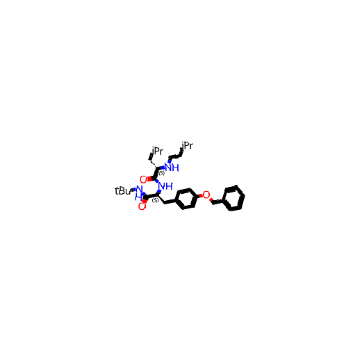 CC(C)CCN[C@@H](CC(C)C)C(=O)N[C@@H](Cc1ccc(OCc2ccccc2)cc1)C(=O)NC(C)(C)C